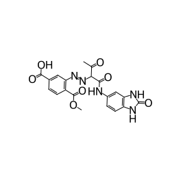 COC(=O)c1ccc(C(=O)O)cc1N=NC(C(C)=O)C(=O)Nc1ccc2[nH]c(=O)[nH]c2c1